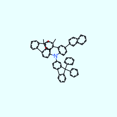 Cc1cccc(C)c1-c1cc(-c2ccc3ccccc3c2)ccc1N(c1ccc2c(c1)C(C)(C)c1ccccc1-2)c1ccc2c(c1)C(c1ccccc1)(c1ccccc1)c1ccccc1-2